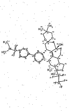 CN(C)S(=O)(=O)c1ccc(-c2ccc([C@H]3C[C@@]4(C)C(CC[C@@]4(O)C(F)(F)C(F)(F)F)C4CC[C@@]5(O)CC6(CCC5=C43)OCC(C)(C)CO6)cc2)cc1